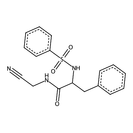 N#CCNC(=O)C(Cc1ccccc1)NS(=O)(=O)c1ccccc1